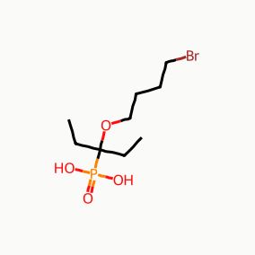 CCC(CC)(OCCCCBr)P(=O)(O)O